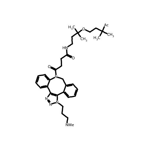 CNCCCn1nnc2c1-c1ccccc1CN(C(=O)CCC(=O)NCCC(C)(C)OCCC(C)(C)C(C)=O)c1ccccc1-2